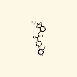 Cc1nc2c(CNC(=O)N3CCN(c4ccncc4F)CC3)cccc2o1